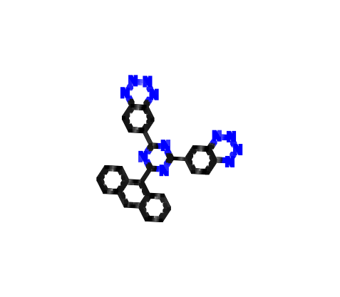 c1ccc2c(-c3nc(-c4ccc5nnnnc5c4)nc(-c4ccc5nnnnc5c4)n3)c3ccccc3cc2c1